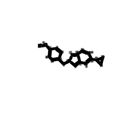 COc1ccc(Cn2cc3nc(C4CC4)ncc3n2)cc1